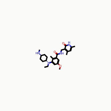 CCN(c1cc(OC)cc(C(=O)NCc2c(C)cc(C)[nH]c2=O)c1C)[C@H]1CC[C@H](NC)CC1